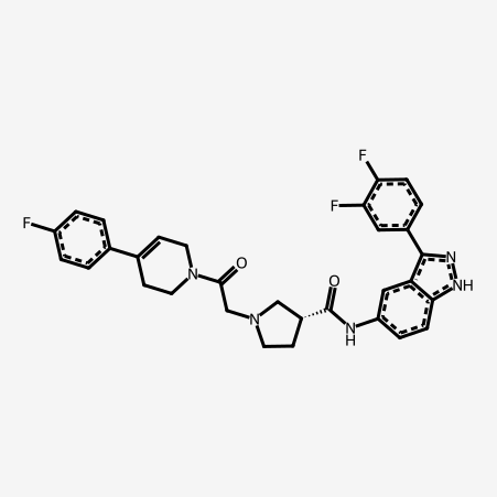 O=C(Nc1ccc2[nH]nc(-c3ccc(F)c(F)c3)c2c1)[C@@H]1CCN(CC(=O)N2CC=C(c3ccc(F)cc3)CC2)C1